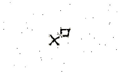 CC(C)(C)N1CCC1